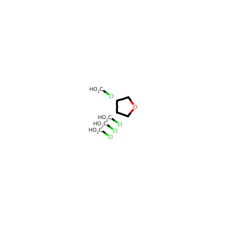 C1CCOC1.O=C(O)Cl.O=C(O)Cl.O=C(O)Cl.O=C(O)Cl